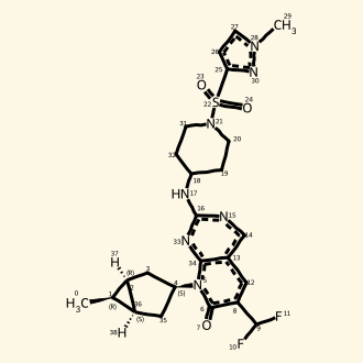 C[C@H]1[C@H]2C[C@@H](n3c(=O)c(C(F)F)cc4cnc(NC5CCN(S(=O)(=O)c6ccn(C)n6)CC5)nc43)C[C@@H]12